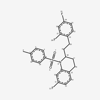 Cc1ccc(S(=O)(=O)N2c3cc(F)ccc3CCC2CCc2ccc(F)cc2F)cc1